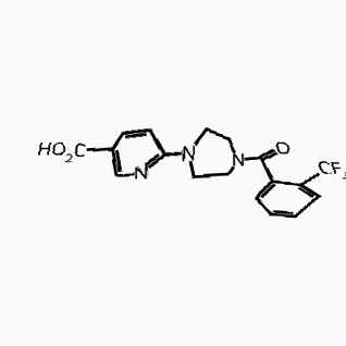 O=C(O)c1ccc(N2CCN(C(=O)c3ccccc3C(F)(F)F)CC2)nc1